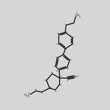 CCCc1ccc(-c2ccc(C3(C#N)CCC(CCC)CC3)cc2)cc1